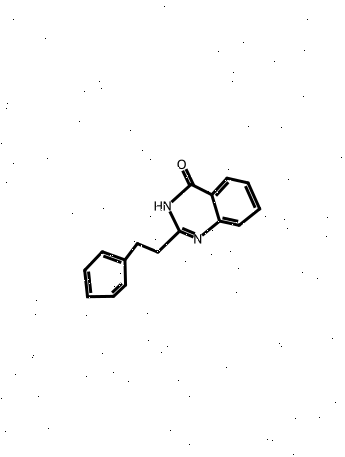 O=c1[nH]c(CCc2ccccc2)nc2ccccc12